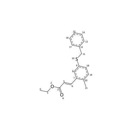 CCOC(=O)/C=C/c1cc(SCc2ccccc2)ccc1C